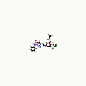 O=c1cc(/C=C/c2ccc(OC(F)F)c(OCC3CC3)c2)ncn1Cc1ccccc1